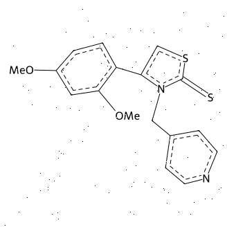 COc1ccc(-c2csc(=S)n2Cc2ccncc2)c(OC)c1